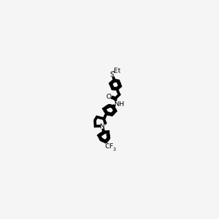 CCSc1ccc(CC(=O)Nc2ccc(C3CCCN(c4ccc(C(F)(F)F)cc4)C3)cc2)cc1